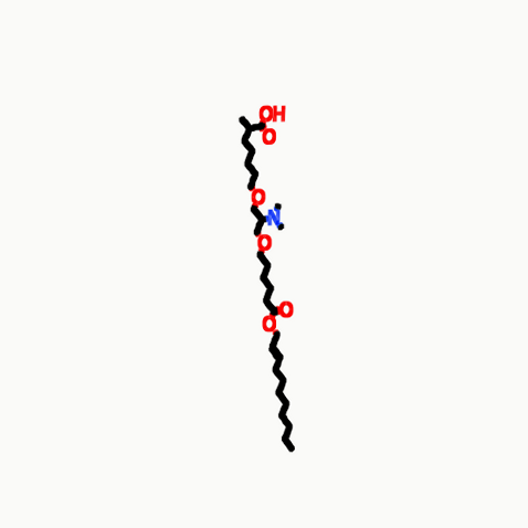 CCCCCCCCC=CCOC(=O)CCCCCOCC(COCCCCCC(C)C(=O)O)N(C)C